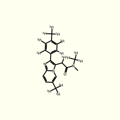 [2H]c1c([2H])c(C([2H])([2H])[2H])c([2H])c([2H])c1-c1nc2ccc(C([2H])([2H])[2H])cn2c1C([2H])C(=O)N(C)C([2H])([2H])[2H]